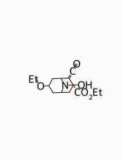 CCOC(=O)CN1C2CC(OCC)CC1C(=C=O)C(O)C2